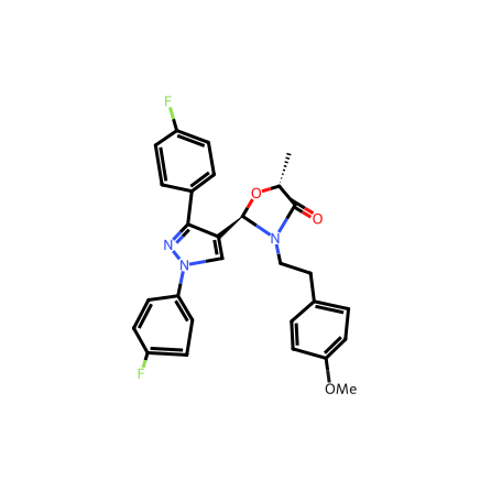 COc1ccc(CCN2C(=O)[C@@H](C)O[C@@H]2c2cn(-c3ccc(F)cc3)nc2-c2ccc(F)cc2)cc1